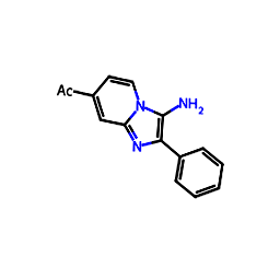 CC(=O)c1ccn2c(N)c(-c3ccccc3)nc2c1